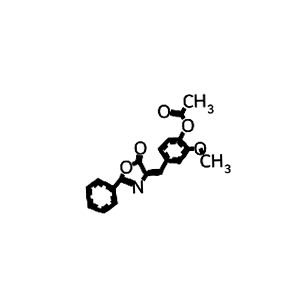 COc1cc(C=C2N=C(c3ccccc3)OC2=O)ccc1OC(C)=O